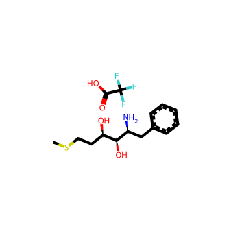 CSCC[C@@H](O)[C@H](O)[C@@H](N)Cc1ccccc1.O=C(O)C(F)(F)F